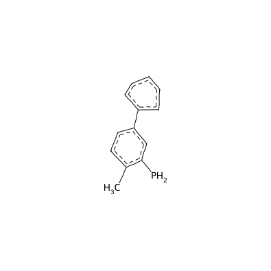 Cc1ccc(-c2ccccc2)cc1P